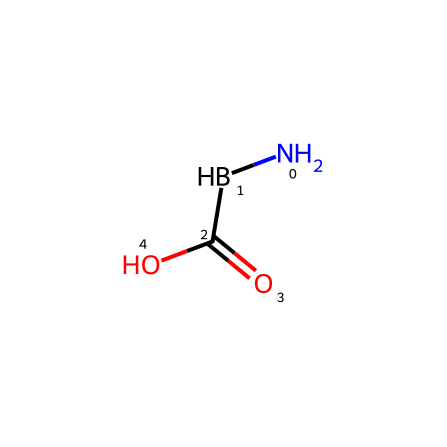 NBC(=O)O